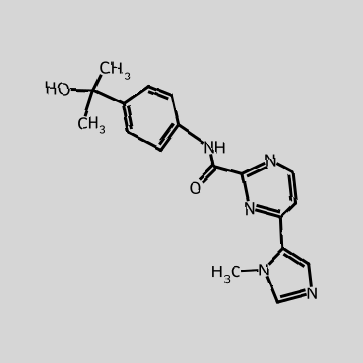 Cn1cncc1-c1ccnc(C(=O)Nc2ccc(C(C)(C)O)cc2)n1